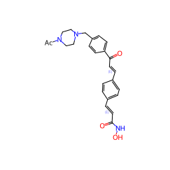 CC(=O)N1CCN(Cc2ccc(C(=O)/C=C/c3ccc(/C=C/C(=O)NO)cc3)cc2)CC1